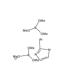 CC(C)c1ncc[n-]1.COB(OC)OC.COB(OC)OC.[Li+]